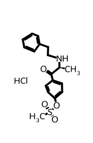 C[C@H](NCCc1ccccc1)C(=O)c1ccc(OS(C)(=O)=O)cc1.Cl